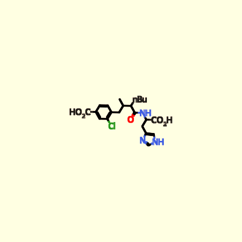 CCCCC(C(=O)NC(Cc1c[nH]cn1)C(=O)O)C(C)Cc1ccc(C(=O)O)cc1Cl